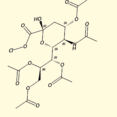 CC(=O)N[C@H]1[C@H]([C@H](OC(C)=O)[C@@H](COC(C)=O)OC(C)=O)O[C@](O)(C(=O)OCl)C[C@@H]1OC(C)=O